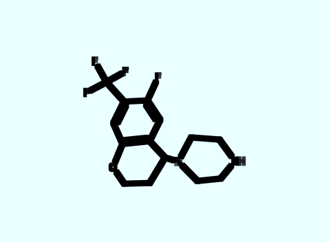 Fc1cc2c(cc1C(F)(F)F)OCCC2N1CCNCC1